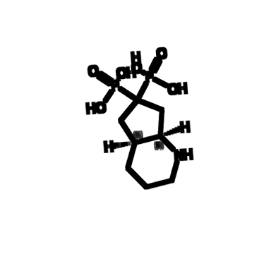 O=P(O)(O)C1(P(=O)(O)O)C[C@@H]2CCCN[C@@H]2C1